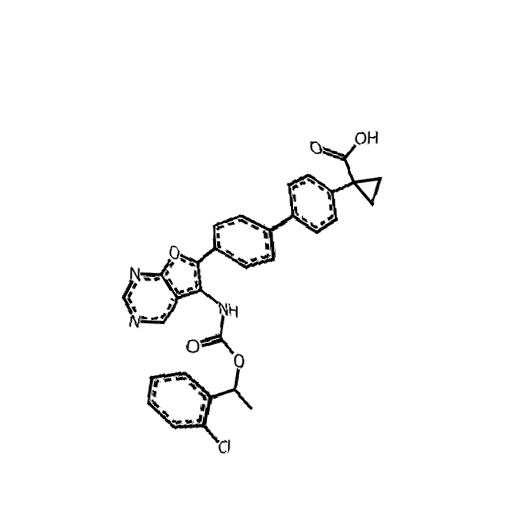 CC(OC(=O)Nc1c(-c2ccc(-c3ccc(C4(C(=O)O)CC4)cc3)cc2)oc2ncncc12)c1ccccc1Cl